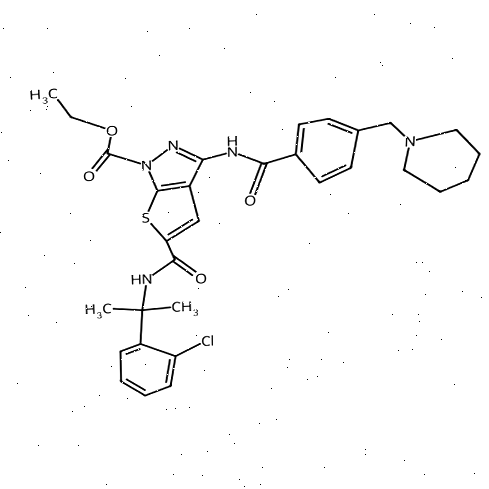 CCOC(=O)n1nc(NC(=O)c2ccc(CN3CCCCC3)cc2)c2cc(C(=O)NC(C)(C)c3ccccc3Cl)sc21